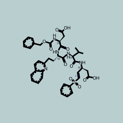 CC(C)[C@H](NC(=O)[C@H](CCc1ccc2ccccc2n1)NC(=O)[C@H](CC(=O)O)NC(=O)OCc1ccccc1)C(=O)N[C@H](/C=C/S(=O)(=O)c1ccccc1)CC(=O)O